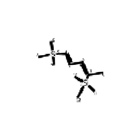 CC(=CC=C[Si](C)(C)C)[Si](C)(C)C